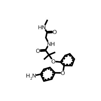 CNC(=O)CNC(=O)C(C)(C)Oc1ccccc1Oc1ccc(N)cc1